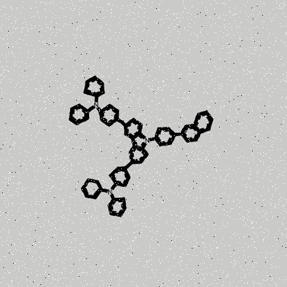 C1=CCCC(N(c2ccccc2)c2ccc(-c3ccc4c(c3)c3cc(-c5ccc(N(c6ccccc6)c6ccccc6)cc5)ccc3n4-c3ccc(-c4ccc5ccccc5c4)cc3)cc2)=C1